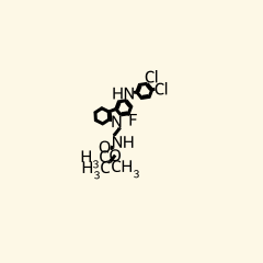 CC(C)(C)OC(=O)NCCn1c2c(c3cc(Nc4ccc(Cl)c(Cl)c4)cc(F)c31)CCCC2